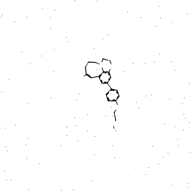 CCCCOCCOc1ccc(-c2cc3c4c(c2)OCCN4CCC/C(C(=O)OCC)=C\3)cc1